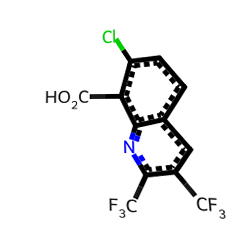 O=C(O)c1c(Cl)ccc2cc(C(F)(F)F)c(C(F)(F)F)nc12